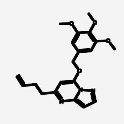 C=CCCc1cc(OCc2cc(OC)c(OC)c(OC)c2)n2nccc2n1